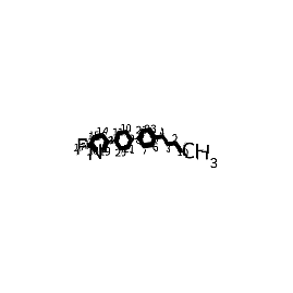 CCCCCc1ccc([C@H]2CC[C@H](c3ccc(F)nc3)CC2)cc1